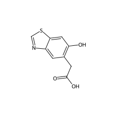 O=C(O)Cc1cc2ncsc2cc1O